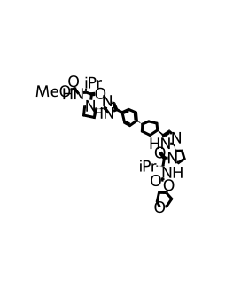 COC(=O)N[C@H](C(=O)N1CCC[C@H]1c1ncc(-c2ccc([C@H]3CC[C@H](c4cnc([C@@H]5CCCN5C(=O)[C@H](NC(=O)OC5CCOCC5)C(C)C)[nH]4)CC3)cc2)[nH]1)C(C)C